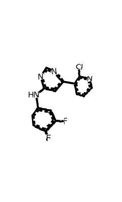 Fc1ccc(Nc2cc(-c3cccnc3Cl)ncn2)cc1F